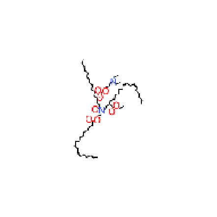 CCCCC/C=C\C/C=C\CCCCCCCC(=O)OCCN(CCC(CCCCCC/C=C\C/C=C\CCCCC)C(=O)OCC)C(=O)CCC(CCCCCCCCCCCC)OC(=O)OCCCN(CC)CC